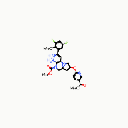 COC(=O)c1ccc(OC2CC3CN(C(=O)OC(C)(C)C)C(N)=C(/C=C(\N)c4cc(F)cc(F)c4OC)N3C2)nc1